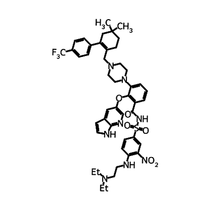 CCN(CC)CCNc1ccc(S(=O)(=O)NC(=O)c2cccc(N3CCN(CC4=C(c5ccc(C(F)(F)F)cc5)CC(C)(C)CC4)CC3)c2Oc2cnc3[nH]ccc3c2)cc1[N+](=O)[O-]